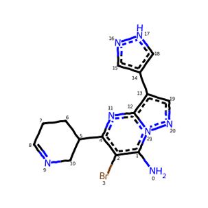 Nc1c(Br)c(C2CCC=NC2)nc2c(-c3cn[nH]c3)cnn12